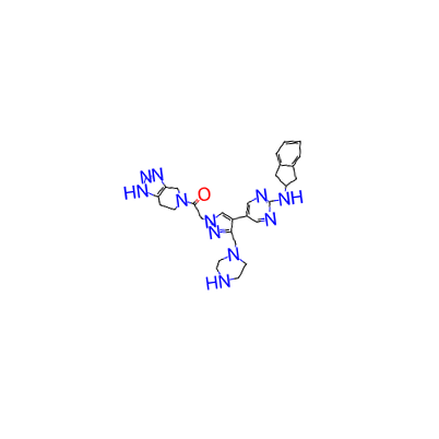 O=C(Cn1cc(-c2cnc(NC3Cc4ccccc4C3)nc2)c(CN2CCNCC2)n1)N1CCc2[nH]nnc2C1